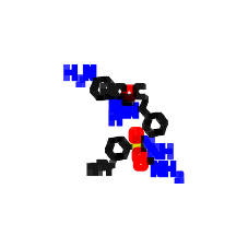 CCCc1cccc(S(=O)(=O)N(NC(N)=O)c2cccc(C(CC(=O)O)NC(=O)Nc3ccc(N)cc3)c2)c1